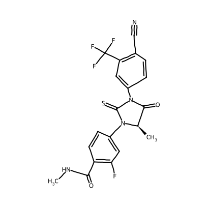 CNC(=O)c1ccc(N2C(=S)N(c3ccc(C#N)c(C(F)(F)F)c3)C(=O)[C@H]2C)cc1F